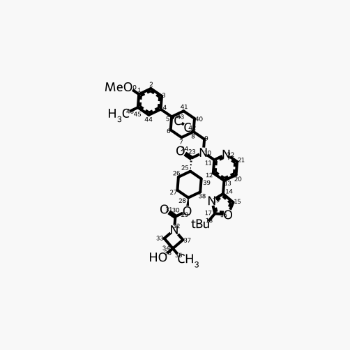 COc1ccc(C23CCC(CN(c4cc(-c5coc(C(C)(C)C)n5)ccn4)C(=O)[C@H]4CC[C@H](OC(=O)N5CC(C)(O)C5)CC4)(CC2)CC3)cc1C